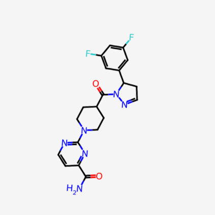 NC(=O)c1ccnc(N2CCC(C(=O)N3N=CCC3c3cc(F)cc(F)c3)CC2)n1